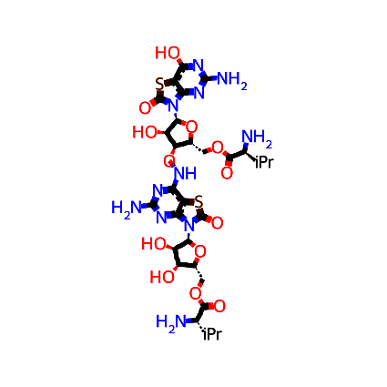 CC(C)[C@H](N)C(=O)OC[C@H]1O[C@@H](n2c(=O)sc3c(NO[C@H]4[C@@H](O)[C@H](n5c(=O)sc6c(O)nc(N)nc65)O[C@@H]4COC(=O)[C@@H](N)C(C)C)nc(N)nc32)[C@H](O)[C@@H]1O